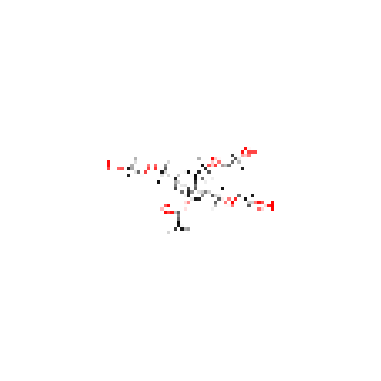 C=C(C)C(=O)OC12CC3(C(C)(C)OCC(C)(C)O)CC(C(C)(C)OCC(C)(C)O)(C1)CC(C(C)(C)OCC(C)(C)O)(C2)C3